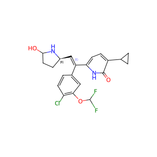 O=c1[nH]c(/C(=C/[C@H]2CCC(O)N2)c2ccc(Cl)c(OC(F)F)c2)ccc1C1CC1